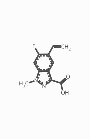 C=Cc1cc2c(C(=O)O)nn(C)c2cc1F